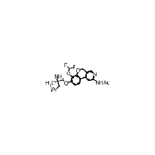 CC(=O)Nc1cc2c(cn1)COc1c-2ccc(OC[C@@](C)(N)CC(C)C)c1OC(F)F